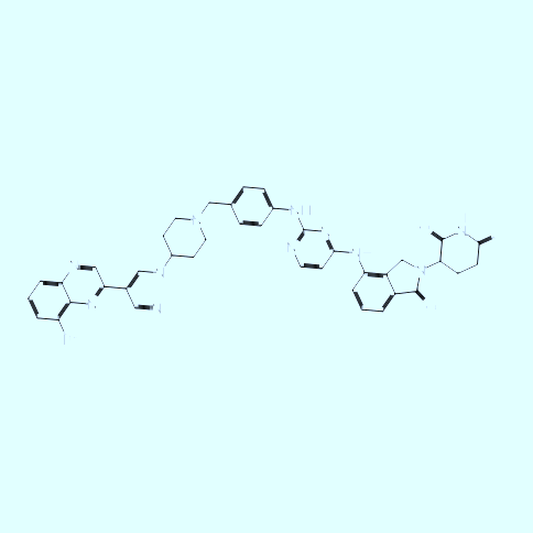 N=C/C(=C\NC1CCN(Cc2ccc(Nc3nccc(Nc4cccc5c4CN(C4CCC(=O)NC4=O)C5=O)n3)cc2)CC1)c1cnc2cccc(Br)c2n1